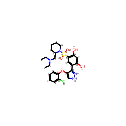 CCN(CC)CC1CCCCN1S(=O)(=O)c1cc(-c2n[nH]cc2Oc2ccccc2Cl)c(O)cc1O